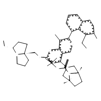 CCc1c(F)ccc2cccc(-c3ncc4c(N5C[C@H]6CC[C@@H](C5)N6C(=O)OC(C)(C)C)nc(OC[C@@]56CCCN5[C@H](CO)CC6)nc4c3F)c12